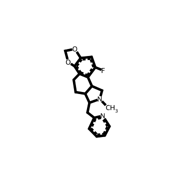 CN1CC2c3c(F)cc4c(c3CCC2C1Cc1ccccn1)OCO4